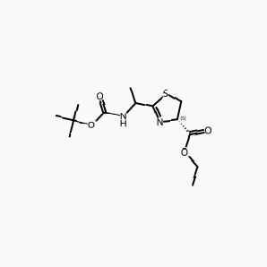 CCOC(=O)[C@H]1CSC(C(C)NC(=O)OC(C)(C)C)=N1